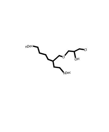 CCCCCCCCCCCCCCC(CCCCCCCCCCCC)COCC(O)CCl